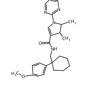 COc1ccc(C2(CNC(=O)C3=CN(c4ncccn4)C(C)C3C)CCCCC2)cc1